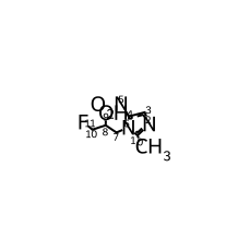 Cc1ncc([N+](=O)[O-])n1CC(O)CF